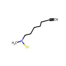 C#CCCCCCN(C)S